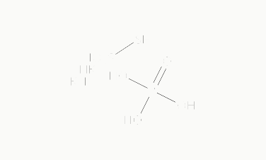 O=P(O)(O)O.O=S(=O)(O)S.[KH].[KH]